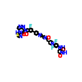 O=C1CCC(Nc2cc(F)c(N3CCC(CC(=O)N4CC5(C4)CN(c4ccc(-c6cc(F)c7c(c6)C(=O)N(C(C(=O)Nc6nccs6)c6ncn8c6CCC8)C7)cc4)C5)CC3)c(F)c2)C(=O)N1